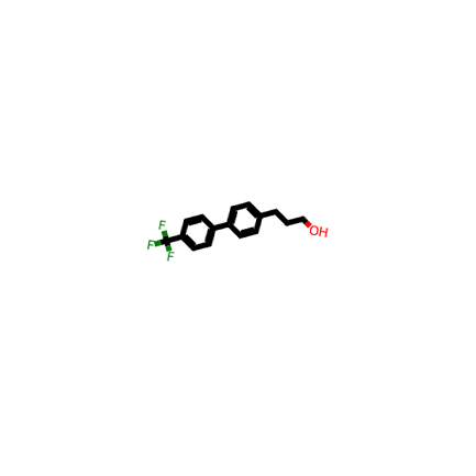 OCCCc1ccc(-c2ccc(C(F)(F)F)cc2)cc1